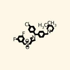 CC1(C)CCCN(Cc2ccc([C@@H](c3ccc(Cl)cc3)N3CC(=CS(=O)(=O)Cc4cc(F)cc(F)c4)C3)cc2)C1